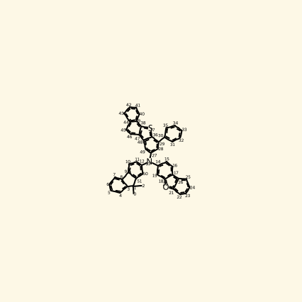 CC1(C)c2ccccc2-c2ccc(N(c3ccc4c(c3)oc3ccccc34)c3cc(-c4ccccc4)c4sc5c6ccccc6ccc5c4c3)cc21